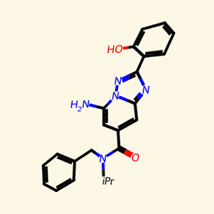 CC(C)N(Cc1ccccc1)C(=O)c1cc(N)n2nc(-c3ccccc3O)nc2c1